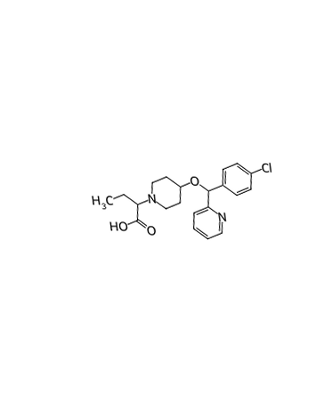 CCC(C(=O)O)N1CCC(OC(c2ccc(Cl)cc2)c2ccccn2)CC1